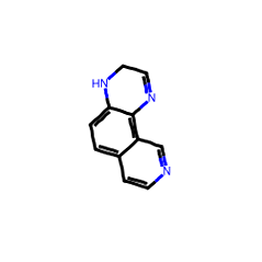 C1=Nc2c(ccc3ccncc23)NC1